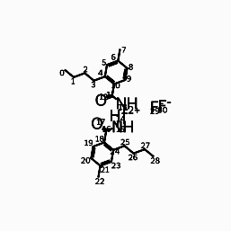 CCCCc1cc(C)ccc1C(=O)[NH][Hf+2][NH]C(=O)c1ccc(C)cc1CCCC.[F-].[F-]